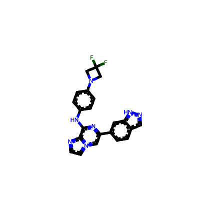 FC1(F)CN(c2ccc(Nc3nc(-c4ccc5cn[nH]c5c4)cn4ccnc34)cc2)C1